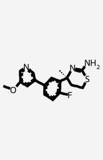 COc1cncc(-c2ccc(F)c([C@]3(C)CCSC(N)=N3)c2)c1